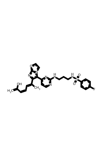 C=C(O)/C=C\C=C(/C)c1nc2occn2c1-c1ccnc(NCCCNS(=O)(=O)c2ccc(F)cc2)n1